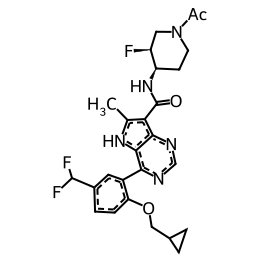 CC(=O)N1CC[C@@H](NC(=O)c2c(C)[nH]c3c(-c4cc(C(F)F)ccc4OCC4CC4)ncnc23)[C@@H](F)C1